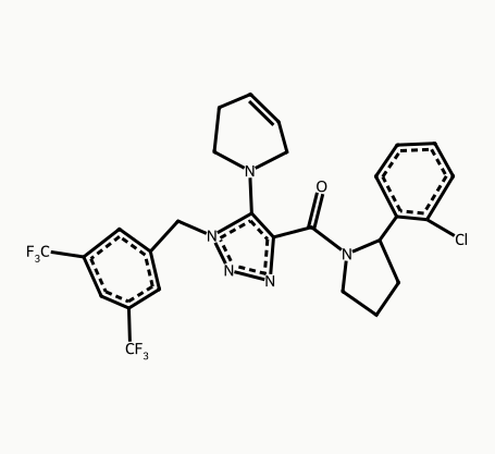 O=C(c1nnn(Cc2cc(C(F)(F)F)cc(C(F)(F)F)c2)c1N1CC=CCC1)N1CCCC1c1ccccc1Cl